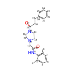 Cc1cccc(C)c1NC(=O)CN1CCN(C(=O)CCc2ccccc2)CC1